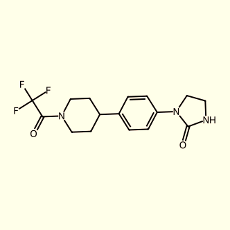 O=C1NCCN1c1ccc(C2CCN(C(=O)C(F)(F)F)CC2)cc1